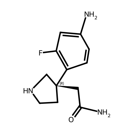 NC(=O)C[C@@]1(c2ccc(N)cc2F)CCNC1